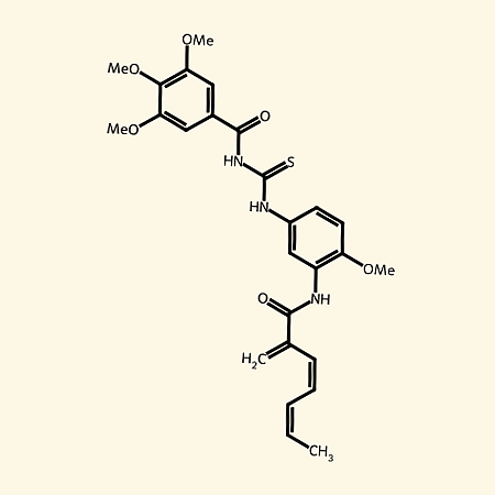 C=C(/C=C\C=C/C)C(=O)Nc1cc(NC(=S)NC(=O)c2cc(OC)c(OC)c(OC)c2)ccc1OC